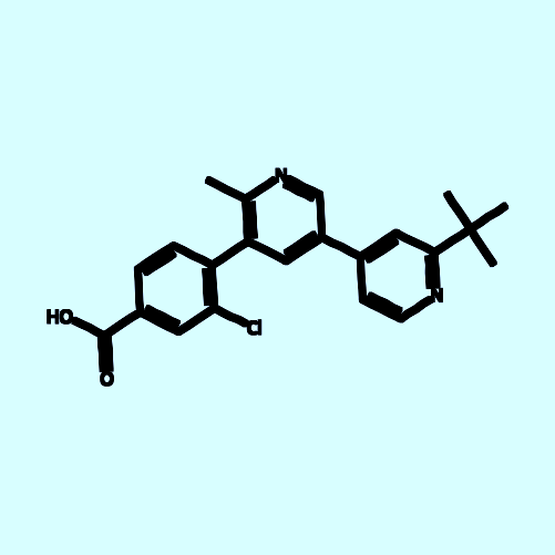 Cc1ncc(-c2ccnc(C(C)(C)C)c2)cc1-c1ccc(C(=O)O)cc1Cl